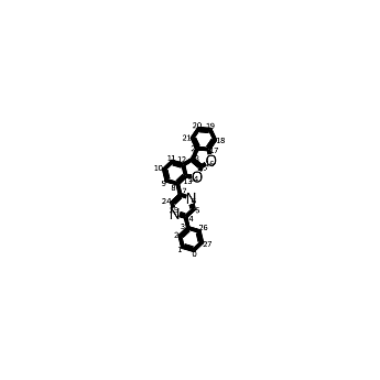 c1ccc(-c2cnc(-c3cccc4c3oc3oc5ccccc5c34)cn2)cc1